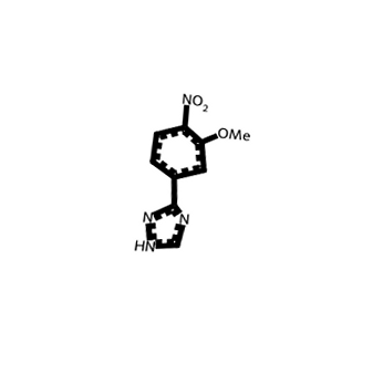 COc1cc(-c2nc[nH]n2)ccc1[N+](=O)[O-]